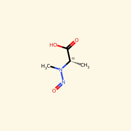 C[C@@H](C(=O)O)N(C)N=O